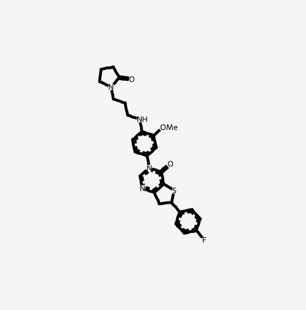 COc1cc(-n2cnc3c(c2=O)SC(c2ccc(F)cc2)C3)ccc1NCCCN1CCCC1=O